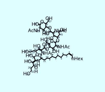 CCCCCC/C=C\CCCCCCCCCC(=O)N/C(=C(/O)C(O)CCO)C(O)OC(CCO)/C(O)=C(\NC(C)=O)C(O)OC1C(CO)OC(OC(CCO)C(O)C(NC(C)=O)C(O)OC2C(CO)OC(O)C(NC(C)=O)C2O)C(NC(C)=O)C1O